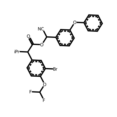 CC(C)C(C(=O)OC(C#N)c1cccc(Oc2ccccc2)c1)c1ccc(OC(F)F)c(Br)c1